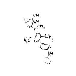 C/C(=C\c1cc(C)c(-c2ccc(NC3CCCC3)nc2)cc1C)C(=O)NC(C)C